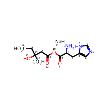 N[C@@H](Cc1cnc[nH]1)C(=O)OC(=O)CC(O)(CC(=O)O)C(=O)O.[NaH]